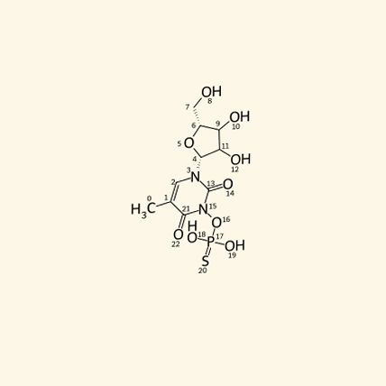 Cc1cn([C@@H]2O[C@H](CO)C(O)C2O)c(=O)n(OP(O)(O)=S)c1=O